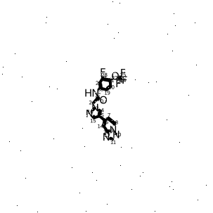 O=C(Cn1cc(-c2ccn3ncnc3c2)cn1)Nc1ccc(OC(F)(F)F)c(F)c1